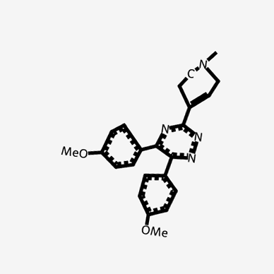 COc1ccc(-c2nnc(C3=CCN(C)CC3)nc2-c2ccc(OC)cc2)cc1